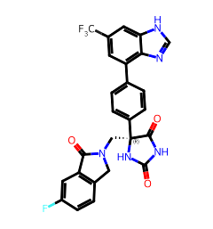 O=C1NC(=O)[C@](CN2Cc3ccc(F)cc3C2=O)(c2ccc(-c3cc(C(F)(F)F)cc4[nH]cnc34)cc2)N1